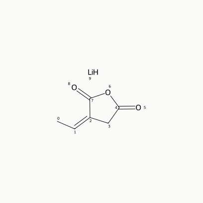 CC=C1CC(=O)OC1=O.[LiH]